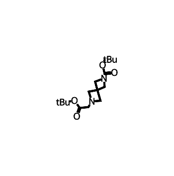 CC(C)(C)OC(=O)CN1CC2(C1)CN(C(=O)OC(C)(C)C)C2